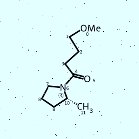 COCCCC(=O)N1CCC[C@H]1C